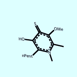 CCCCCc1c(O)c(=S)c(OC)c(C)n1C